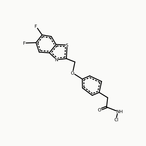 O=C(Cc1ccc(OCc2nc3cc(F)c(F)cc3s2)cc1)NCl